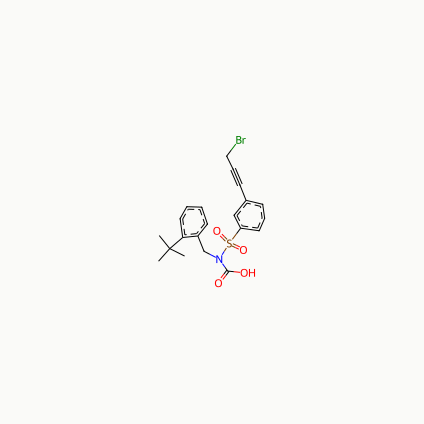 CC(C)(C)c1ccccc1CN(C(=O)O)S(=O)(=O)c1cccc(C#CCBr)c1